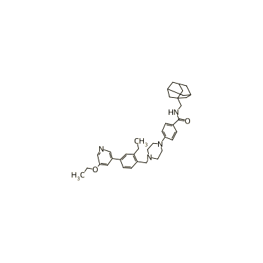 CCOc1cncc(-c2ccc(CN3CCN(c4ccc(C(=O)NCC56CC7CC(CC(C7)C5)C6)cc4)CC3)c(CC)c2)c1